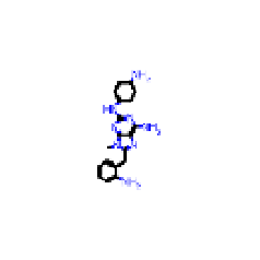 Cn1c(Cc2ccccc2N)nc2c(N)nc(NC3CCC(N)CC3)nc21